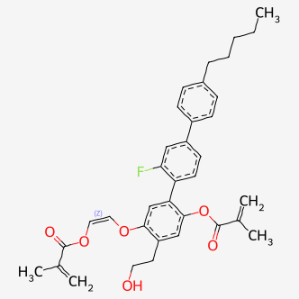 C=C(C)C(=O)O/C=C\Oc1cc(-c2ccc(-c3ccc(CCCCC)cc3)cc2F)c(OC(=O)C(=C)C)cc1CCO